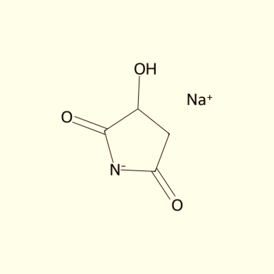 O=C1CC(O)C(=O)[N-]1.[Na+]